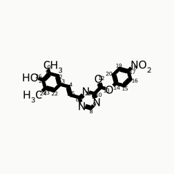 Cc1cc(/C=C/c2ncnc(C(=O)Oc3ccc([N+](=O)[O-])cc3)n2)cc(C)c1O